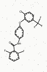 O=C(Nc1ccc(Oc2cc(C(F)(F)F)ccc2Cl)cc1)c1c(F)cccc1F